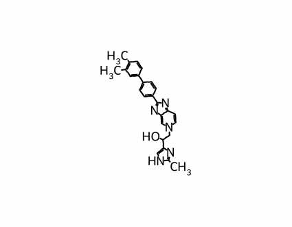 Cc1nc(C(O)Cn2ccc3nc(-c4ccc(-c5ccc(C)c(C)c5)cc4)nc-3c2)c[nH]1